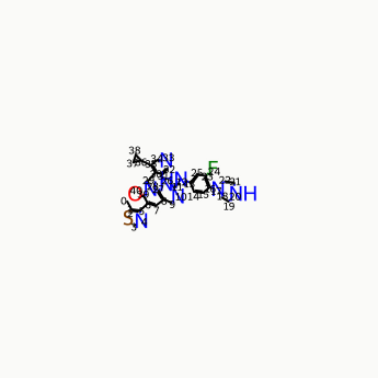 Cc1scnc1-c1cc2cnc(Nc3ccc(N4CCNCC4)c(F)c3)nc2n(Cc2ccncc2C2CC2)c1=O